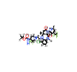 Cc1cc(C(F)(F)F)cc(N2C(=O)C[C@@H]3CN(CCN4CCC(NC(=O)OC(C)(C)C)C(F)(F)C4)c4c(Cl)cccc4N(C)C(=O)[C@H]32)n1